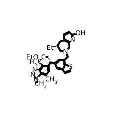 CCOC(=O)C[C@H](c1cc(CN2Cc3nc(O)ccc3C[C@H](CC)C2)c2sccc2c1)c1cc(C)c2c(nnn2C)c1C